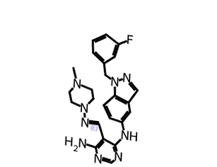 CN1CCN(/N=C/c2c(N)ncnc2Nc2ccc3c(cnn3Cc3cccc(F)c3)c2)CC1